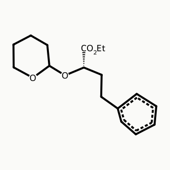 CCOC(=O)[C@H](CCc1ccccc1)OC1CCCCO1